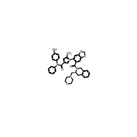 Cc1cc(C(=O)N(c2ccccc2)c2ccc(O)cc2)cn1-c1cc2c(cc1C(=O)N1Cc3ccccc3C[C@H]1CN1CCOCC1)OCO2